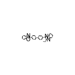 CCc1nc2ccccc2nc1-c1ccc(-c2ccc(-c3nc4ccccc4o3)cc2)cc1